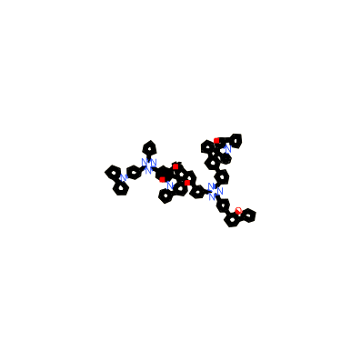 c1ccc(-c2nc(-c3ccc(-n4c5ccccc5c5ccccc54)cc3)nc(-c3cccc(-c4cccc5c4C4(c6cc(-c7cccc(-c8nc(-c9ccc(-c%10cccc%11c%10oc%10ccccc%10%11)cc9)nc(-c9cccc(-c%10ccc%11c(c%10)C%10(c%12ccccc%12-%11)c%11ccccc%11-n%11c%12ccccc%12c%12cccc%10c%12%11)c9)n8)c7)ccc6-5)c5ccccc5-n5c6ccccc6c6cccc4c65)c3)n2)cc1